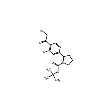 CC(C)(C)OC(=O)N1CCCC1c1ccc(C(=O)CBr)c(F)c1